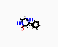 O=C1CC(c2ccccc2)NCCN1